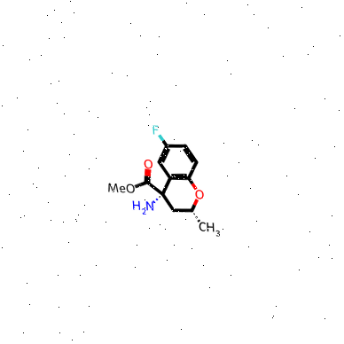 COC(=O)[C@]1(N)C[C@@H](C)Oc2ccc(F)cc21